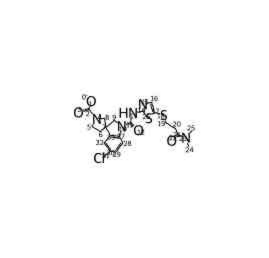 COC(=O)N1CCC2(C1)CN(C(=O)Nc1ncc(SCCC(=O)N(C)C)s1)c1ccc(Cl)cc12